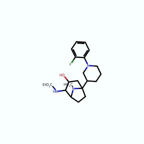 CCOC(=O)NC1C(O)CC2(C3CCCN(c4ccccc4F)C3)CCC1N2C(=O)O